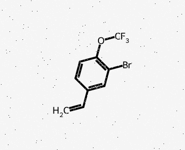 C=Cc1ccc(OC(F)(F)F)c(Br)c1